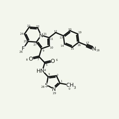 Cc1cc(NC(=O)C(=O)c2cc(Cc3ccc(C#N)cc3)n3cccc(F)c23)sn1